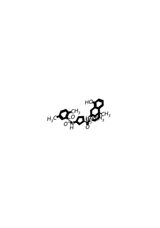 Cc1ccc(C)c(S(=O)(=O)NC2CC[C@@H](C(=O)N3CC[C@@]4(C)c5cccc(O)c5C[C@@H]3C4(C)C)C2)c1